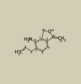 C=CCc1ccc2c(c1N)COC2=C